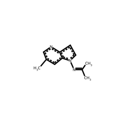 CC(C)=Nn1ccc2ncc(C)cc21